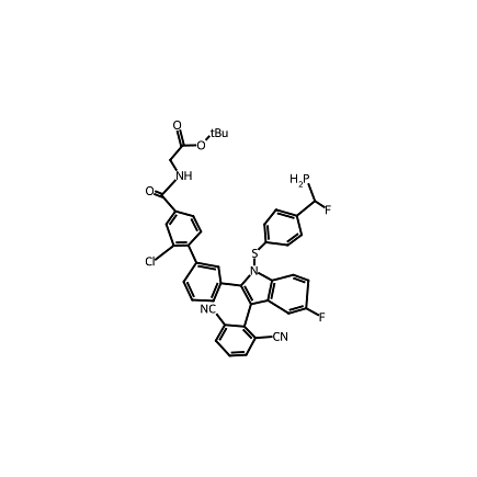 CC(C)(C)OC(=O)CNC(=O)c1ccc(-c2cccc(-c3c(-c4c(C#N)cccc4C#N)c4cc(F)ccc4n3Sc3ccc(C(F)P)cc3)c2)c(Cl)c1